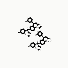 Cn1cncc1C(N)(c1ccc(Cl)cc1)c1ccc2c(c1)c(-c1cccc(Cl)c1)cc1nccn12.Cn1cncc1C(N)(c1ccc(Cl)cc1)c1ccc2c(c1)c(-c1cccc(Cl)c1)cc1nnnn12